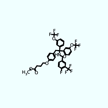 COC(=O)CCCOc1ccc(CC(NC(=O)c2ccc(F)c(C(F)(F)F)c2)(c2cccc(OC(F)(F)F)c2)c2cccc(OC(F)(F)F)c2)cc1